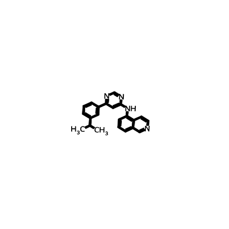 CC(C)c1cccc(-c2cc(Nc3cccc4cnccc34)ncn2)c1